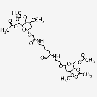 COC1CC(OCCNC(C=O)CCCCNC(=O)COC2CC(OC)C(OC(C)=O)C(COC(C)=O)O2)OC(COC(C)=O)C1OC(C)=O